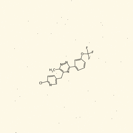 Cc1nnc(-c2cccc(OC(F)(F)F)c2)nc1Cc1ccc(Cl)nc1